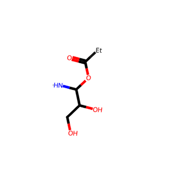 CCC(=O)OC([NH])C(O)CO